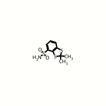 CC1(C)Sc2cccc(S(N)(=O)=O)c2S1